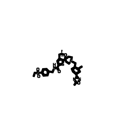 CCS(=O)(=O)c1ccc(CNC(=O)c2cc3c(s2)C2(CCN(Cc4ccc(-c5noc(C)n5)cc4C)CC2)O[C@@H](C)C3)cc1